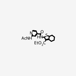 CCOC(=O)C1=C2CCCCC2SC1NC(=O)c1ccnc(NC(C)=O)c1